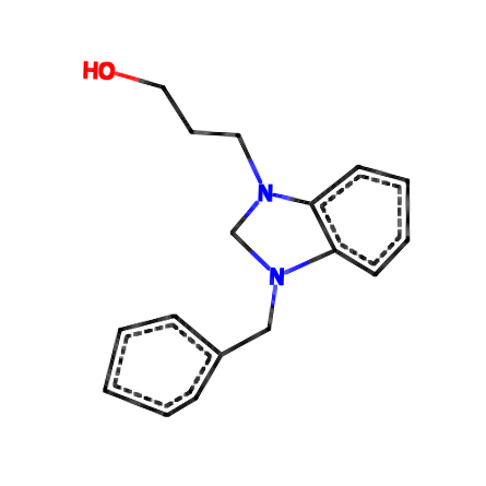 OCCCN1CN(Cc2ccccc2)c2ccccc21